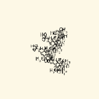 CC(C)(C)c1cc(CCC(=O)O)cc(C(C)(C)C)c1O.CC(C)(C)c1cc(CCC(=O)O)cc(C(C)(C)C)c1O.CC(C)(C)c1cc(CCC(=O)O)cc(C(C)(C)C)c1O.CC(CO)(CO)CO